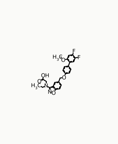 CCN(CC(=O)O)c1noc2ccc(COc3ccc(-c4cc(F)c(F)cc4OC)cc3)cc12